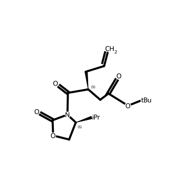 C=CC[C@@H](CC(=O)OC(C)(C)C)C(=O)N1C(=O)OC[C@@H]1C(C)C